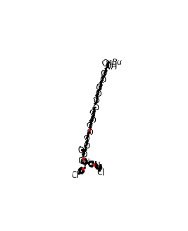 CCCCC(=O)NCCOCCOCCOCCOCCOCCOCCOCCOCCOCCOCCOCCOCCC(=O)OC[C@H]1CN(C2CCN(c3cc(Cl)ccn3)CC2)[C@@H](Cc2ccc(Cl)cc2)CO1